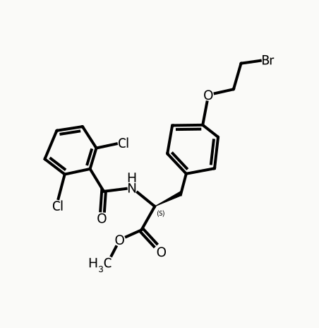 COC(=O)[C@H](Cc1ccc(OCCBr)cc1)NC(=O)c1c(Cl)cccc1Cl